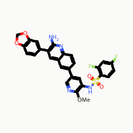 COc1ncc(-c2ccc3nc(N)c(-c4ccc5c(c4)OCO5)cc3c2)cc1NS(=O)(=O)c1ccc(F)cc1F